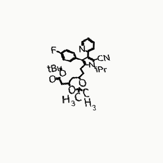 CC(C)n1c(C#N)c(-c2ccccn2)c(-c2ccc(F)cc2)c1CCC1CC(CC(=O)OC(C)(C)C)OC(C)(C)O1